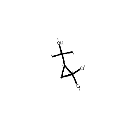 CC(C)(O)C1CC1(Cl)Cl